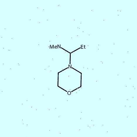 CCC([N]C)N1CCOCC1